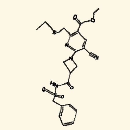 CCOC(=O)c1cc(C#N)c(N2CC(C(=O)NS(=O)(=O)Cc3ccccc3)C2)nc1CSCC